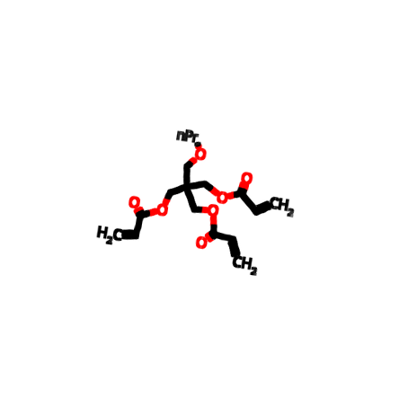 C=CC(=O)OCC(COCCC)(COC(=O)C=C)COC(=O)C=C